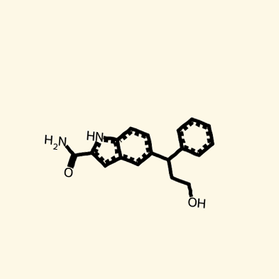 NC(=O)c1cc2cc(C(CCO)c3ccccc3)ccc2[nH]1